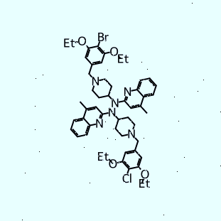 CCOc1cc(CN2CCC(N(c3cc(C)c4ccccc4n3)N(c3cc(C)c4ccccc4n3)C3CCN(Cc4cc(OCC)c(Br)c(OCC)c4)CC3)CC2)cc(OCC)c1Cl